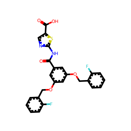 O=C(Nc1ncc(C(=O)O)s1)c1cc(OCc2ccccc2F)cc(OCc2ccccc2F)c1